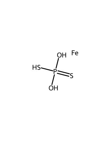 OP(O)(=S)S.[Fe]